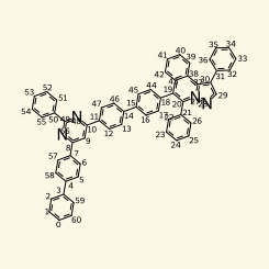 c1ccc(-c2ccc(-c3cc(-c4ccc(-c5ccc(-c6c(-c7ccccc7)n7ncc(-c8ccccc8)c7c7ccccc67)cc5)cc4)nc(-c4ccccc4)n3)cc2)cc1